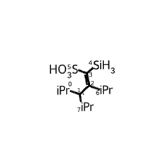 CC(C)[C](/C(=C(/[SiH3])S(=O)(=O)O)C(C)C)C(C)C